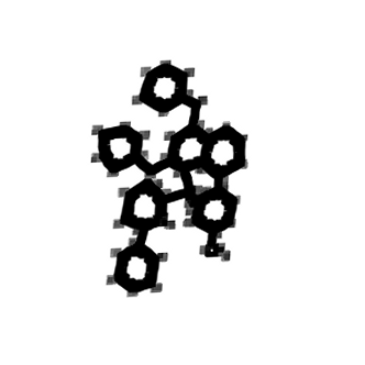 Cc1ccc(-c2cccc3c(Cc4ccccc4)cc(Cc4ccccc4)c(C(=N)c4cccc(-c5ccccc5)n4)c23)cc1